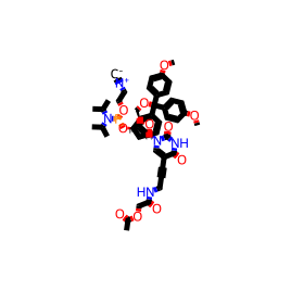 [C-]#[N+]CCOP(O[C@@H]1C[C@H](n2cc(C#CCNC(=O)COC(C)=O)c(=O)[nH]c2=O)O[C@@H]1COC(c1ccccc1)(c1ccc(OC)cc1)c1ccc(OC)cc1)N(C(C)C)C(C)C